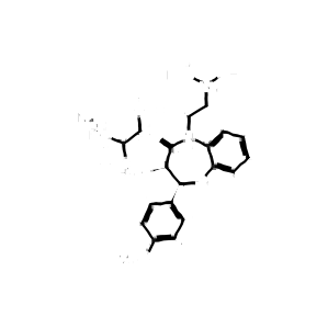 COc1ccc([C@@H]2Sc3ccccc3N(CCN(C)C)C(=O)[C@@H]2OC(C)=O)cc1.O=C([O-])CC(O)C(=O)[O-].[Na+].[Na+]